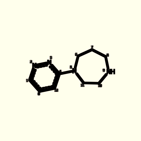 c1cnnc(N2CCCNCC2)c1